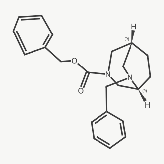 O=C(OCc1ccccc1)N1C[C@@H]2CC[C@H](C1)N(Cc1ccccc1)C2